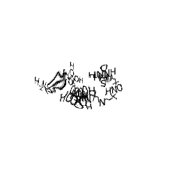 CC(C[C@@H]1SC[C@@H]2NC(=O)N[C@@H]21)CC(C)(C)C(=O)NCC(C)(C)CCN(C)CCC(C)(C)CNP(=O)(O)OP(=O)(O)OP(=O)(O)OCC1OC(n2cnc3c(N)ncnc32)C(O)C1O